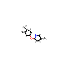 CC(=O)c1ccc(Oc2ccc(C(C)C)c(C)c2)nc1